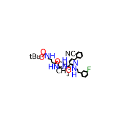 CC(C)(CNC(=O)c1ccc(-c2ccccc2C#N)nc1NCCc1cccc(F)c1)NC(=O)CCCNC(=O)OC(C)(C)C